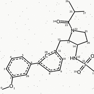 COc1cccc(-c2cccc(CC3C(NS(C)(=O)=O)CCN3C(=O)C(C)C)c2)c1